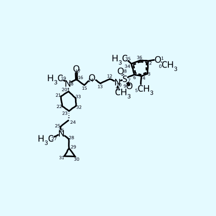 COc1cc(C)c(S(=O)(=O)N(C)CCOCC(=O)N(C)[C@H]2CC[C@@H](CCN(C)CC3CC3)CC2)c(C)c1